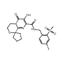 CS(=O)(=O)c1cc(F)ccc1CNC(=O)c1nc2n(c(=O)c1O)CCOC21CCCC1